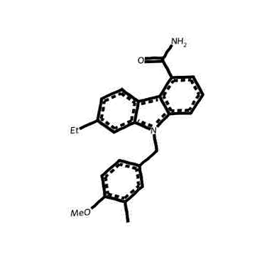 CCc1c[c]c2c3c(C(N)=O)cccc3n(Cc3ccc(OC)c(C)c3)c2c1